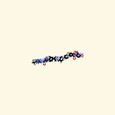 Cc1cc(-c2cnn(CC3CCN(C4CCN(c5cc6c(cc5F)C(=O)N(C5CCC(=O)NC5=O)C6=O)CC4)CC3)c2)ccc1-n1cc(C(=O)NCc2nc(C(C)(C)C(F)(F)F)n[nH]2)cn1